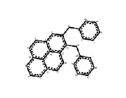 c1ccc(Cc2cc3ccc4cccc5ccc(c2Cc2ccccc2)c3c45)cc1